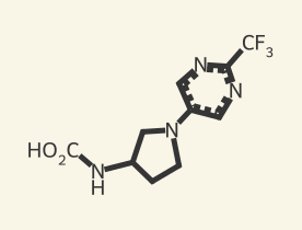 O=C(O)NC1CCN(c2cnc(C(F)(F)F)nc2)C1